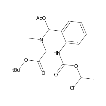 CC(=O)OC(c1ccccc1NC(=O)OC(C)Cl)N(C)CC(=O)OC(C)(C)C